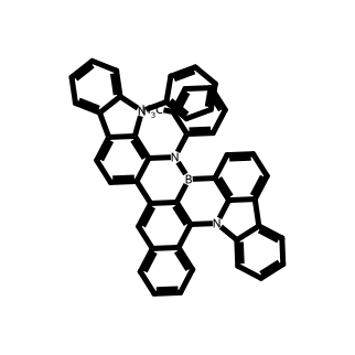 Cc1ccccc1N1B2c3c(cc4ccccc4c3-n3c4ccccc4c4cccc2c43)-c2ccc3c4ccccc4n(-c4ccccc4)c3c21